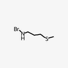 CSCCCNBr